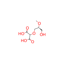 CO[C@@H](CO)COC(C(=O)O)C(=O)O